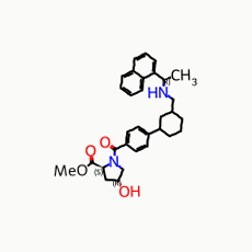 COC(=O)[C@@H]1C[C@@H](O)CN1C(=O)c1ccc(C2CCCC(CN[C@H](C)c3cccc4ccccc34)C2)cc1